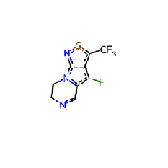 Fc1c2n(c3nsc(C(F)(F)F)c13)CCN=C2